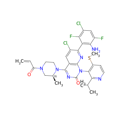 C=CC(=O)N1CCN(c2nc(=O)n(-c3c(SC)ccnc3C(C)C)c3nc(-c4c(N)c(F)cc(Cl)c4F)c(Cl)cc23)[C@@H](C)C1